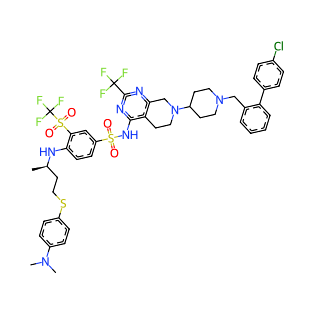 C[C@H](CCSc1ccc(N(C)C)cc1)Nc1ccc(S(=O)(=O)Nc2nc(C(F)(F)F)nc3c2CCN(C2CCN(Cc4ccccc4-c4ccc(Cl)cc4)CC2)C3)cc1S(=O)(=O)C(F)(F)F